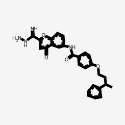 CC(CCOc1ccc(C(=O)Nc2ccc3oc(C(=N)NN)cc(=O)c3c2)cc1)c1ccccc1